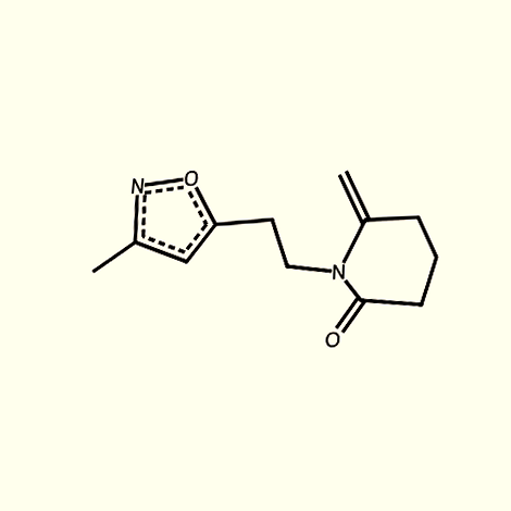 C=C1CCCC(=O)N1CCc1cc(C)no1